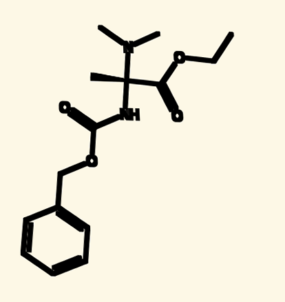 CCOC(=O)[C@](C)(NC(=O)OCc1ccccc1)N(C)C